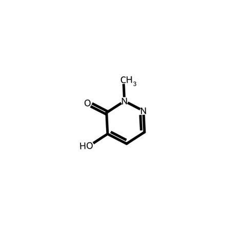 Cn1nccc(O)c1=O